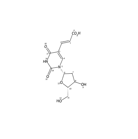 O=C(O)C=Cc1cn([C@@H]2CC(O)[C@H](CO)O2)c(=O)[nH]c1=O